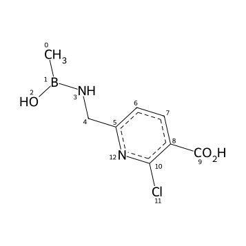 CB(O)NCc1ccc(C(=O)O)c(Cl)n1